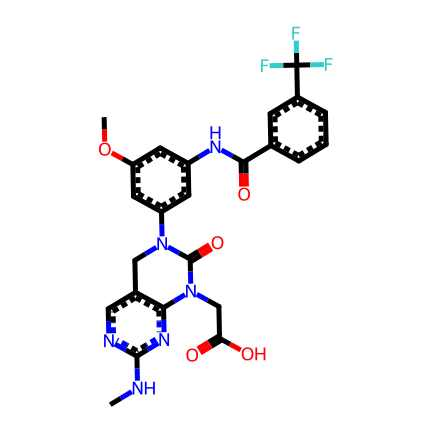 CNc1ncc2c(n1)N(CC(=O)O)C(=O)N(c1cc(NC(=O)c3cccc(C(F)(F)F)c3)cc(OC)c1)C2